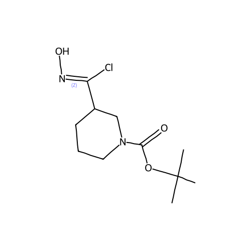 CC(C)(C)OC(=O)N1CCCC(/C(Cl)=N/O)C1